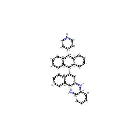 c1ccc2nc3c(cc(-c4c5ccccc5c(-c5ccncc5)c5ccccc45)c4ccccc43)nc2c1